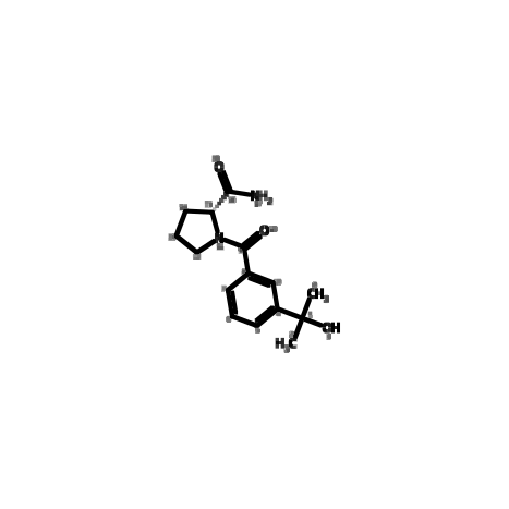 CC(C)(O)c1cccc(C(=O)N2CCC[C@@H]2C(N)=O)c1